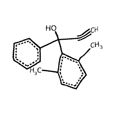 C#CC(O)(c1ccccc1)c1c(C)cccc1C